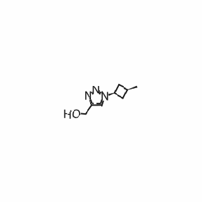 C[C@H]1C[C@@H](n2cc(CO)nn2)C1